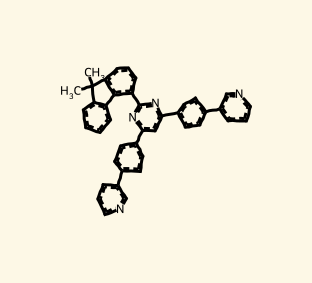 CC1(C)c2ccccc2-c2c(-c3nc(-c4ccc(-c5cccnc5)cc4)cc(-c4ccc(-c5cccnc5)cc4)n3)cccc21